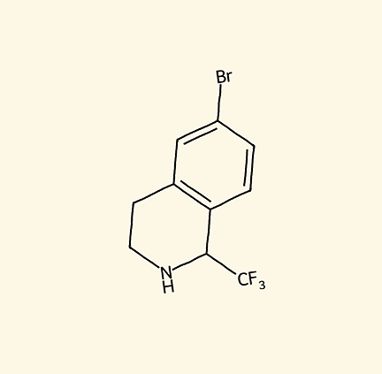 FC(F)(F)C1NCCc2cc(Br)ccc21